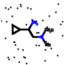 CC(C)(C)N(CC(N)C1CC1)C(=O)O